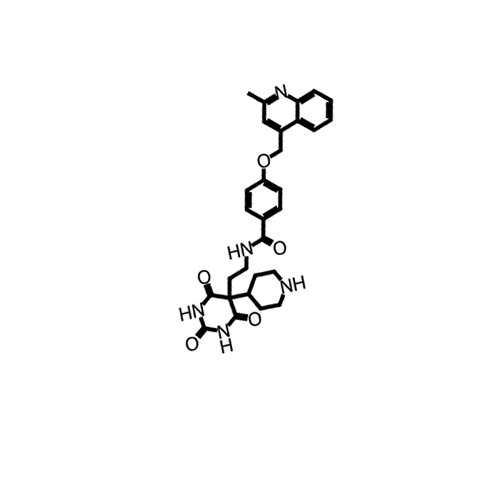 Cc1cc(COc2ccc(C(=O)NCCC3(C4CCNCC4)C(=O)NC(=O)NC3=O)cc2)c2ccccc2n1